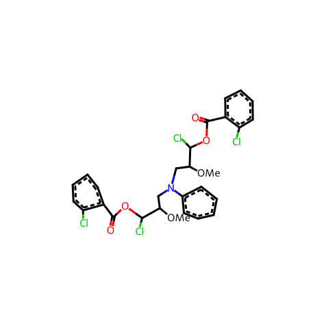 COC(CN(CC(OC)C(Cl)OC(=O)c1ccccc1Cl)c1ccccc1)C(Cl)OC(=O)c1ccccc1Cl